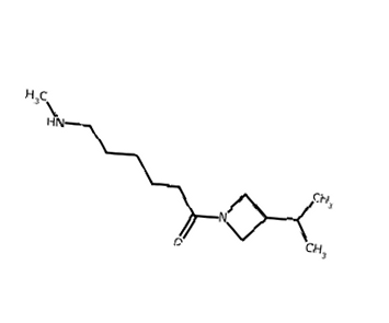 CNCCCCCC(=O)N1CC(C(C)C)C1